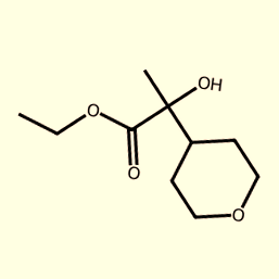 CCOC(=O)C(C)(O)C1CCOCC1